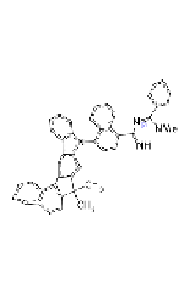 CN/C(=N\C(=N)c1ccc(-n2c3ccccc3c3cc4c(cc32)C(C)(C)c2ccc3ccccc3c2-4)c2ccccc12)c1ccccc1